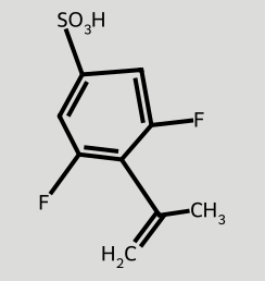 C=C(C)c1c(F)cc(S(=O)(=O)O)cc1F